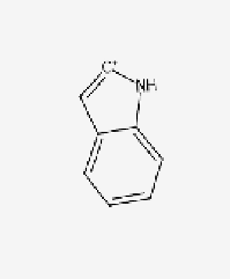 [C+]1=Cc2ccccc2N1